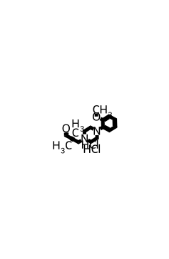 COc1ccccc1N1CCN(CC(C)(C)C=O)CC1.Cl.Cl